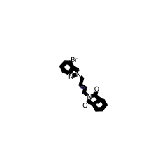 O=C1c2ccccc2C(=O)N1C/C=C/Cn1cc2c(Br)cccc2n1